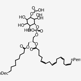 CCCCC/C=C\C/C=C\C/C=C\C/C=C\CCCC(=O)O[C@H](COC(=O)CCCCCCCCCCCCCCCCC)COP(=O)(O)O[C@H]1C(O)C(O)C(O)[C@@H](OP(=O)(O)O)C1O